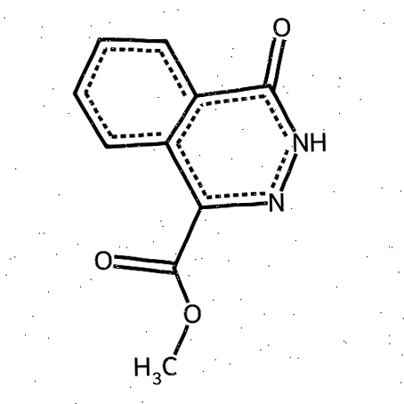 COC(=O)c1n[nH]c(=O)c2ccccc12